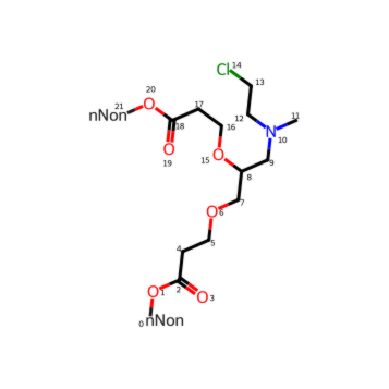 CCCCCCCCCOC(=O)CCOCC(CN(C)CCCl)OCCC(=O)OCCCCCCCCC